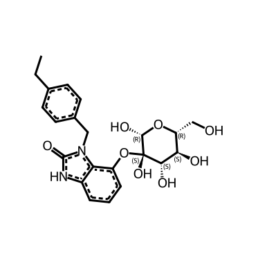 CCc1ccc(Cn2c(=O)[nH]c3cccc(O[C@]4(O)[C@H](O)O[C@H](CO)[C@@H](O)[C@@H]4O)c32)cc1